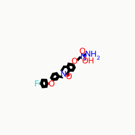 NC(=O)N(O)CCOc1ccc2c(c1)CCN(Cc1cccc(Oc3ccc(F)cc3)c1)C2=O